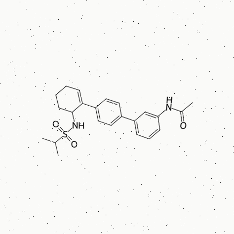 CC(=O)Nc1cccc(-c2ccc(C3=CCCCC3NS(=O)(=O)C(C)C)cc2)c1